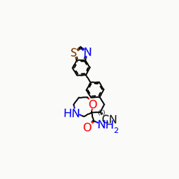 N#C[C@H](Cc1ccc(-c2ccc3scnc3c2)cc1)C1(C(N)=O)CNCCCO1